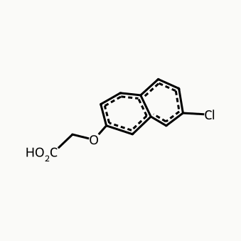 O=C(O)COc1ccc2ccc(Cl)cc2c1